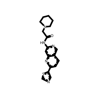 O=C(CN1CCCCC1)Nc1cc2nc(-c3cncs3)ccc2cn1